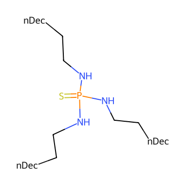 CCCCCCCCCCCCNP(=S)(NCCCCCCCCCCCC)NCCCCCCCCCCCC